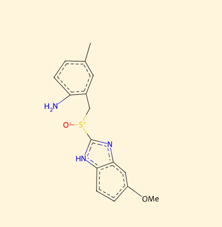 COc1ccc2[nH]c([S+]([O-])Cc3cc(C)ccc3N)nc2c1